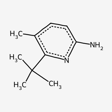 Cc1ccc(N)nc1C(C)(C)C